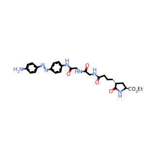 CCOC(=O)[C@@H]1C[C@@H](CCCC(=O)NCC(=O)NCC(=O)Nc2ccc(/N=N/c3ccc(N)cc3)cc2)C(=O)N1